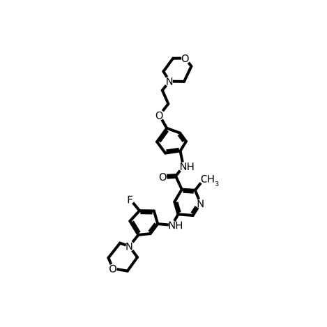 Cc1ncc(Nc2cc(F)cc(N3CCOCC3)c2)cc1C(=O)Nc1ccc(OCCN2CCOCC2)cc1